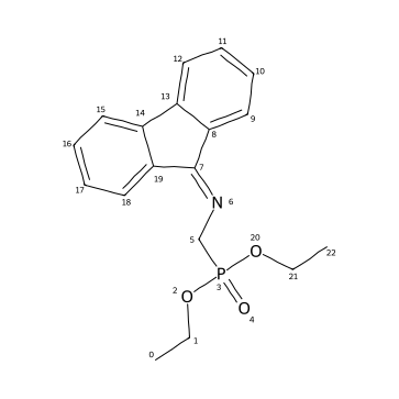 CCOP(=O)(CN=C1c2ccccc2-c2ccccc21)OCC